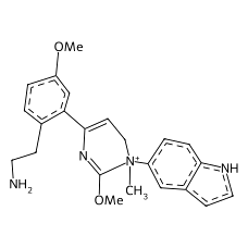 COC1=NC(c2cc(OC)ccc2CCN)=CC[N+]1(C)c1ccc2[nH]ccc2c1